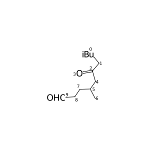 CCC(C)CC(=O)CC(C)CCC=O